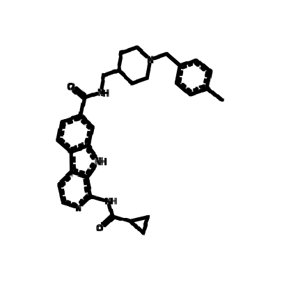 Cc1ccc(CN2CCC(CNC(=O)c3ccc4c(c3)[nH]c3c(NC(=O)C5CC5)nccc34)CC2)cc1